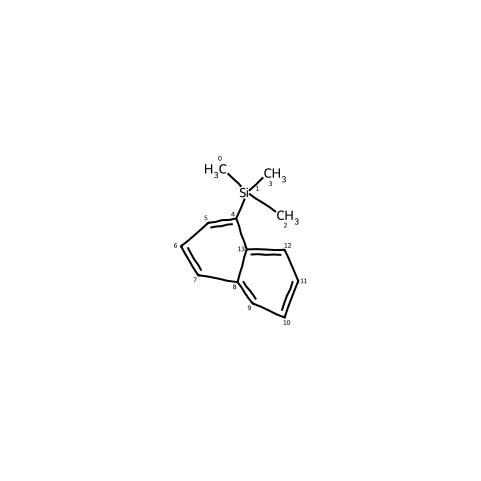 C[Si](C)(C)c1cccc2ccccc12